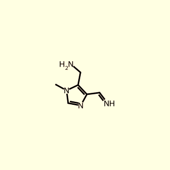 Cn1cnc(C=N)c1CN